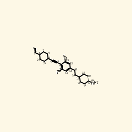 C=CC1CCC(C#Cc2c(F)cc(CCC3CCC(CCC)CC3)cc2F)CC1